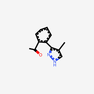 CC(=O)c1ccccc1-c1n[nH]cc1C